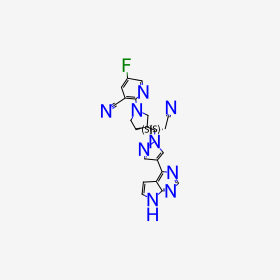 N#CC[C@@H]([C@H]1CCN(c2ncc(F)cc2C#N)C1)n1cc(-c2ncnc3[nH]ccc23)cn1